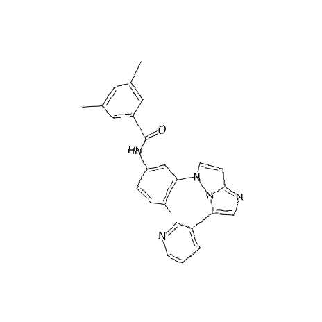 Cc1cc(C)cc(C(=O)Nc2ccc(C)c(-n3ccc4ncc(-c5cccnc5)n43)c2)c1